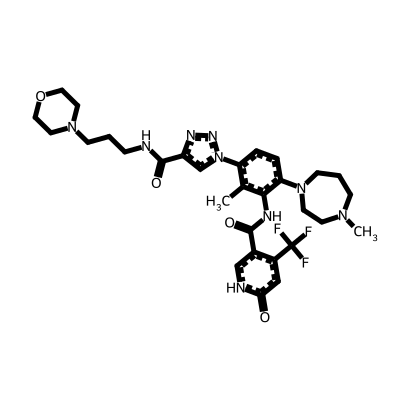 Cc1c(-n2cc(C(=O)NCCCN3CCOCC3)nn2)ccc(N2CCCN(C)CC2)c1NC(=O)c1c[nH]c(=O)cc1C(F)(F)F